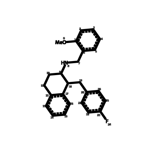 COc1ccccc1CNC1CCc2ccccc2C1Cc1ccc(F)cc1